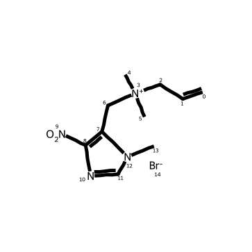 C=CC[N+](C)(C)Cc1c([N+](=O)[O-])ncn1C.[Br-]